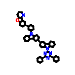 c1ccc(-c2nc(-c3ccccc3)nc(-n3c4ccccc4c4cc(-c5ccc6c(c5)c5ccccc5n6-c5cccc(-c6ccc7oc8cccnc8c7c6)c5)ccc43)n2)cc1